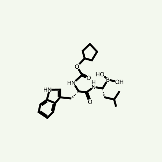 CC(C)C[C@H](NC(=O)[C@H](Cc1c[nH]c2ccccc12)NC(=O)OC1CCCC1)B(O)O